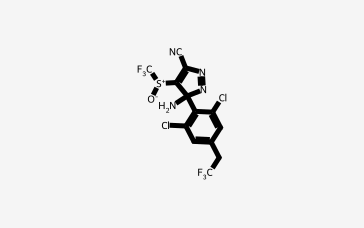 N#CC1=C([S+]([O-])C(F)(F)F)C(N)(c2c(Cl)cc(CC(F)(F)F)cc2Cl)N=N1